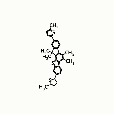 CC1=CCC(c2ccc3c(c2)sc2c4c(c(C)c(C)c23)-c2ccc(-c3ccc(C)s3)cc2C4(C)C)S1